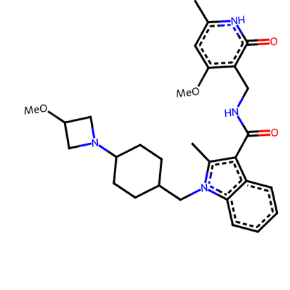 COc1cc(C)[nH]c(=O)c1CNC(=O)c1c(C)n(CC2CCC(N3CC(OC)C3)CC2)c2ccccc12